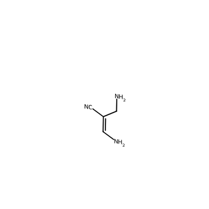 N#C/C(=C/N)CN